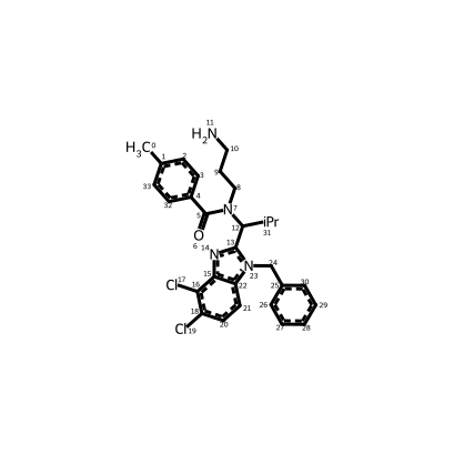 Cc1ccc(C(=O)N(CCCN)C(c2nc3c(Cl)c(Cl)ccc3n2Cc2ccccc2)C(C)C)cc1